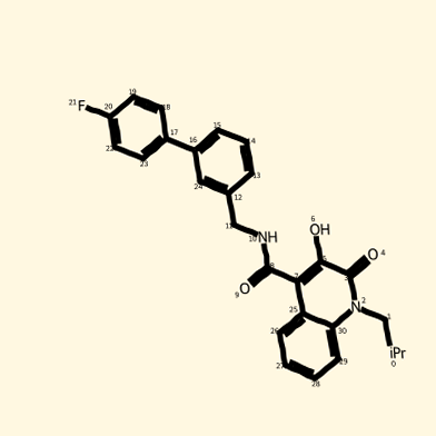 CC(C)Cn1c(=O)c(O)c(C(=O)NCc2cccc(-c3ccc(F)cc3)c2)c2ccccc21